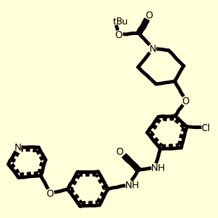 CC(C)(C)OC(=O)N1CCC(Oc2ccc(NC(=O)Nc3ccc(Oc4ccncc4)cc3)cc2Cl)CC1